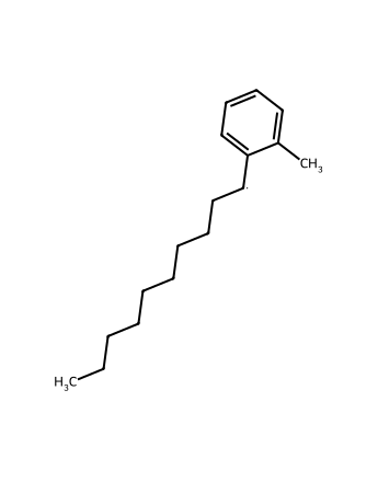 CCCCCCCCC[CH]c1ccccc1C